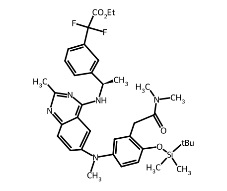 CCOC(=O)C(F)(F)c1cccc([C@@H](C)Nc2nc(C)nc3ccc(N(C)c4ccc(O[Si](C)(C)C(C)(C)C)c(CC(=O)N(C)C)c4)cc23)c1